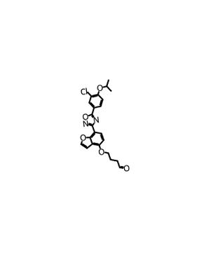 CC(C)Oc1ccc(-c2nc(-c3ccc(OCCCC=O)c4ccoc34)no2)cc1Cl